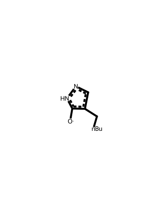 CCCCCc1cn[nH]c1[O]